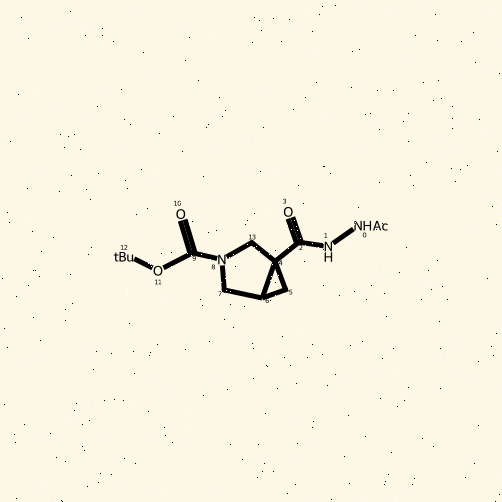 CC(=O)NNC(=O)C12CC1CN(C(=O)OC(C)(C)C)C2